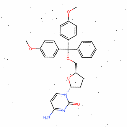 COc1ccc(C(OC[C@H]2[CH]C[C@H](n3ccc(N)nc3=O)O2)(c2ccccc2)c2ccc(OC)cc2)cc1